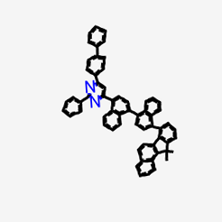 CC1(C)c2cccc(-c3ccc(-c4ccc(-c5cc(-c6ccc(-c7ccccc7)cc6)nc(-c6ccccc6)n5)c5ccccc45)c4ccccc34)c2-c2ccc3ccccc3c21